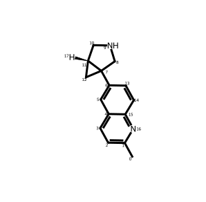 Cc1ccc2cc(C34CNC[C@H]3C4)ccc2n1